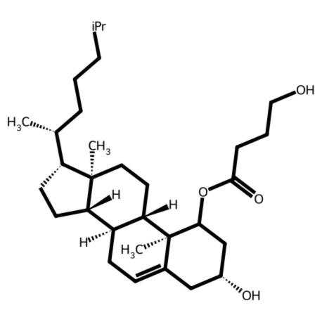 CC(C)CCC[C@@H](C)[C@H]1CC[C@H]2[C@@H]3CC=C4C[C@@H](O)CC(OC(=O)CCCO)[C@]4(C)[C@H]3CC[C@]12C